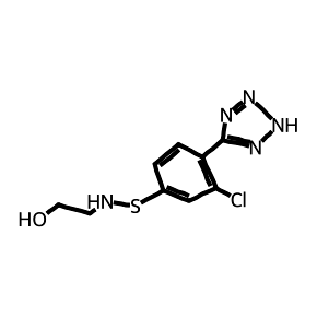 OCCNSc1ccc(-c2nn[nH]n2)c(Cl)c1